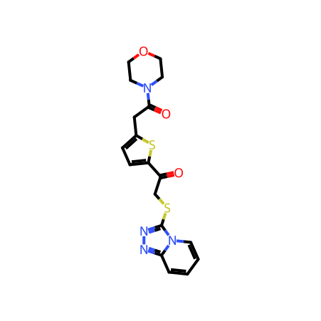 O=C(CSc1nnc2ccccn12)c1ccc(CC(=O)N2CCOCC2)s1